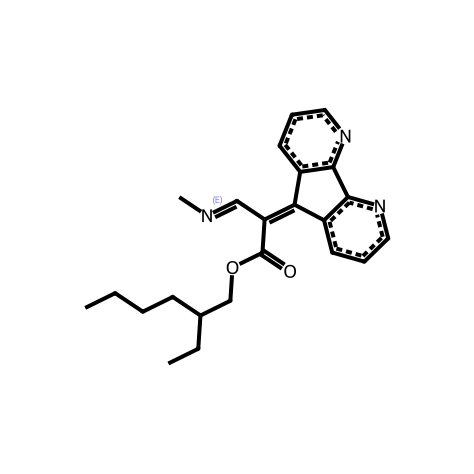 CCCCC(CC)COC(=O)C(/C=N/C)=C1c2cccnc2-c2ncccc21